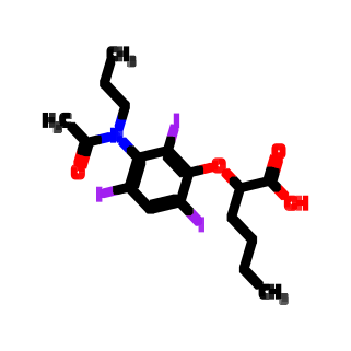 CCCCC(Oc1c(I)cc(I)c(N(CCC)C(C)=O)c1I)C(=O)O